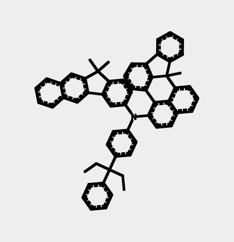 CCC(CC)(c1ccccc1)c1ccc(N(c2ccc3c(c2)-c2cc4ccccc4cc2C3(C)C)c2ccc3cccc4c3c2-c2cccc3c2C4(C)c2ccccc2-3)cc1